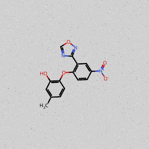 Cc1ccc(Oc2ccc([N+](=O)[O-])cc2-c2ncon2)c(O)c1